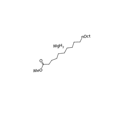 CCCCCCCCCCCCCCCCCC(=O)OC.[MgH2]